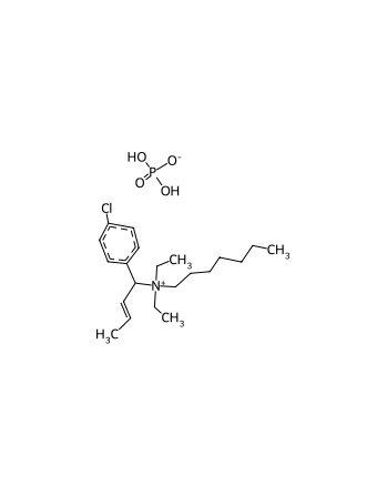 CC=CC(c1ccc(Cl)cc1)[N+](CC)(CC)CCCCCCC.O=P([O-])(O)O